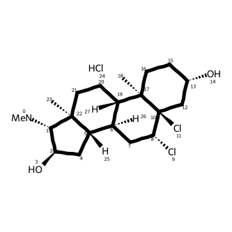 CN[C@H]1[C@H](O)C[C@H]2[C@@H]3C[C@@H](Cl)[C@@]4(Cl)C[C@@H](O)CC[C@]4(C)[C@H]3CC[C@@]21C.Cl